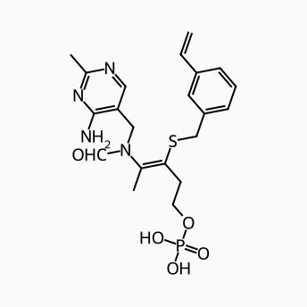 C=Cc1cccc(CS/C(CCOP(=O)(O)O)=C(/C)N(C=O)Cc2cnc(C)nc2N)c1